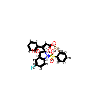 O=C1C=C(c2ccccc2)[C@]2(O1)[C@@H](O)c1cc(F)ccc1N2S(=O)(=O)c1ccccc1Br